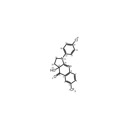 O=C1c2cc(C(F)(F)F)ccc2N=C2N(c3ccc(Cl)cc3)CCC12O